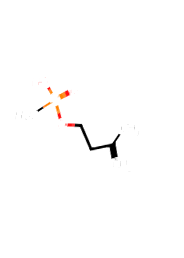 C=C(C)CCOP(C)(=O)O